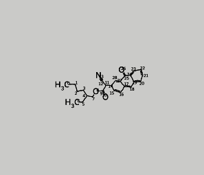 CCCCC(CC)COC(=O)C(C#N)C1C=CC2=Cc3ccccc3C(=O)C2=C1